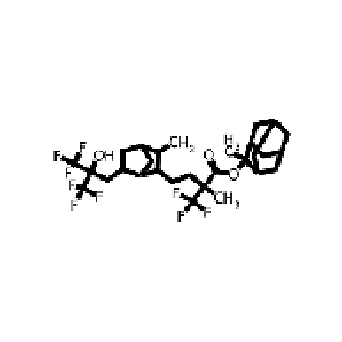 CC1C2CC(CC(O)(C(F)(F)F)C(F)(F)F)C(C2)C1CCC(C)(C(=O)OC1(C)C2CC3CC(C2)CC1C3)C(F)(F)F